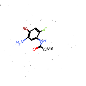 COC(=O)Nc1cc(N)c(Br)cc1F